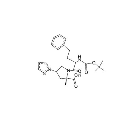 CC(C)(C)OC(=O)NC(CCc1ccccc1)C(=O)N1CC(n2cccn2)C[C@@]1(C)C(=O)O